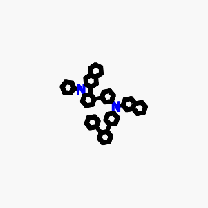 c1ccc(-c2ccccc2-c2ccc(N(c3cccc(-c4cccc5c4c4cc6ccccc6cc4n5-c4ccccc4)c3)c3ccc4ccccc4c3)cc2)cc1